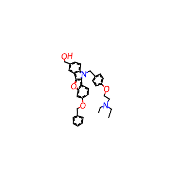 CCN(CC)CCOc1ccc(Cn2c3ccc(CO)cc3c3oc4cc(OCc5ccccc5)ccc4c32)cc1